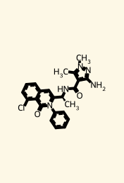 Cc1c(C(=O)N[C@@H](C)c2cc3cccc(Cl)c3c(=O)n2-c2ccccc2)c(N)nn1C